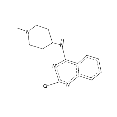 CN1CCC(Nc2nc(Cl)nc3ccccc23)CC1